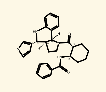 O=C(N[C@@H]1CCCC[C@@H]1C(=O)N1CC[C@@H]2[C@H]1c1ccccc1N[C@H]2c1ccsc1)c1ccccc1